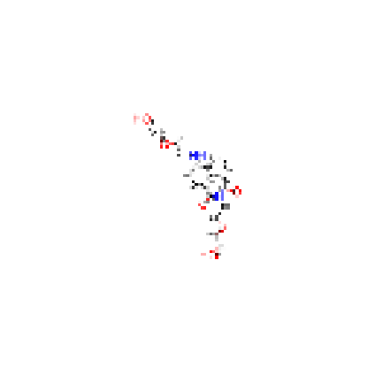 O=C1c2cccc3c(NCCOCCO)ccc(c23)C(=O)N1CCOCCO